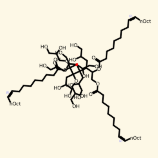 CCCCCCCC/C=C\CCCCCCCC(=O)OCC(OC(=O)CCCCCCC/C=C\CCCCCCCC)C(CC(O)CO)C(CC(O)CO)(CC(CO)OC(=O)CCCCCCC/C=C\CCCCCCCC)C(CC(O)CO)(OCC(O)CO)C(CC(O)CO)(CC(O)CO)OCC(O)CO